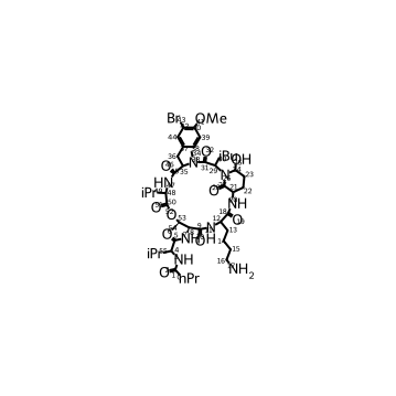 CCCC(=O)NC(C(=O)N[C@@H]1C(=O)NC(CCCCN)C(=O)NC2CCC(O)N(C2=O)C(C(C)CC)C(=O)N(C)C(Cc2ccc(OC)c(Br)c2)C(=O)NC(C(C)C)C(=O)O[C@@H]1C)C(C)C